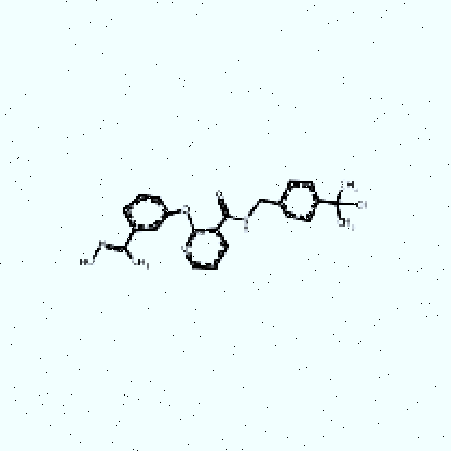 C/C(=N\O)c1cccc(Oc2ncccc2C(=O)NCc2ccc(C(C)(C)O)cc2)c1